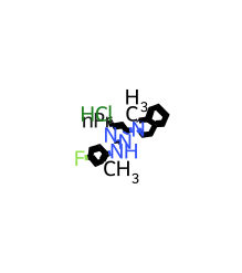 CCCc1cc(N2CCc3ccccc3C2C)nc(Nc2ccc(F)cc2C)n1.Cl